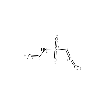 C=C=CS(=O)(=O)NC=C